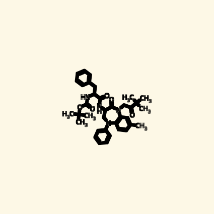 Cc1ccc2c(c1)N(CC(=O)C(C)(C)C)C(=O)C(NC(=O)C(Cc1ccccc1)NC(=O)OC(C)(C)C)CN2c1ccccc1